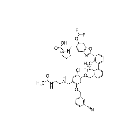 CC(=O)NCCNCc1cc(Cl)c(OCc2cccc(-c3cccc(-c4nc5cc(CN6CCC[C@H]6C(=O)O)c(OC(F)F)cc5o4)c3C)c2C)cc1OCc1cccc(C#N)c1